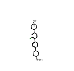 CCCCCC1CCC(c2ccc(-c3ccc(C4CC[SiH](CCC)CC4)cc3F)cc2)CC1